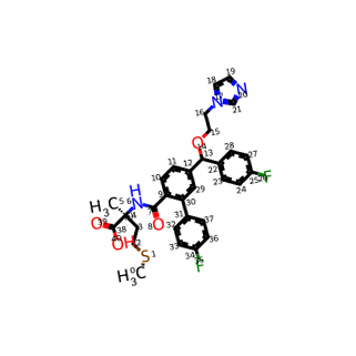 CSCC[C@](C)(NC(=O)c1ccc(C(OCCn2ccnc2)c2ccc(F)cc2)cc1-c1ccc(F)cc1)C(=O)O